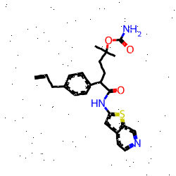 C=CCc1ccc(C(CCC(C)(C)OC(N)=O)C(=O)Nc2cc3ccncc3s2)cc1